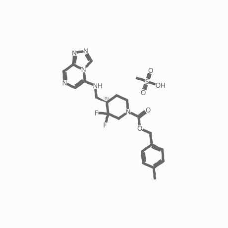 CS(=O)(=O)O.Cc1ccc(COC(=O)N2CC[C@H](CNc3cncc4nncn34)C(F)(F)C2)cc1